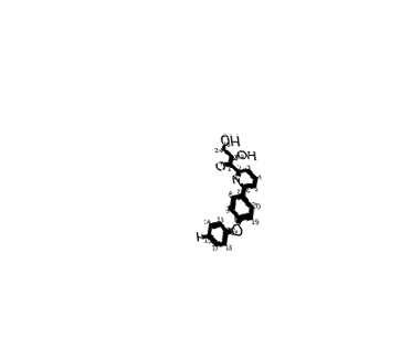 O=C(c1cccc(-c2ccc(Oc3ccc(F)cc3)cc2)n1)[C@@H](O)CO